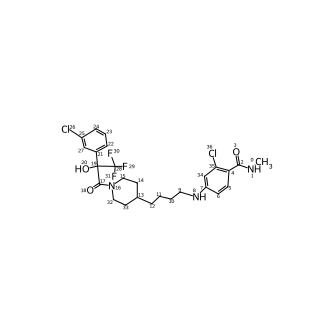 CNC(=O)c1ccc(NCCCCC2CCN(C(=O)C(O)(c3cccc(Cl)c3)C(F)(F)F)CC2)cc1Cl